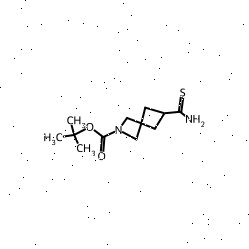 CC(C)(C)OC(=O)N1CC2(CC(C(N)=S)C2)C1